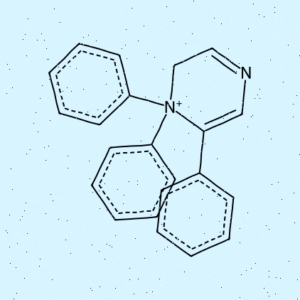 C1=NC=C(c2ccccc2)[N+](c2ccccc2)(c2ccccc2)C1